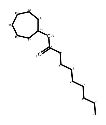 CCCCCCC[CH]C(=O)OC1CCCCCC1